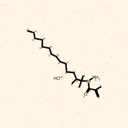 C=C(C)C(=O)N(N)C(C)(C)C(C)CCCCCCCCCCCC.Cl